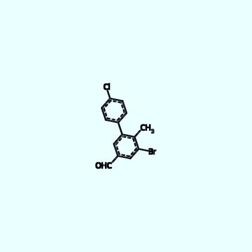 Cc1c(Br)cc(C=O)cc1-c1ccc(Cl)cc1